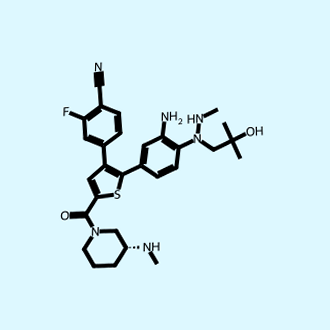 CN[C@@H]1CCCN(C(=O)c2cc(-c3ccc(C#N)c(F)c3)c(-c3ccc(N(CC(C)(C)O)NC)c(N)c3)s2)C1